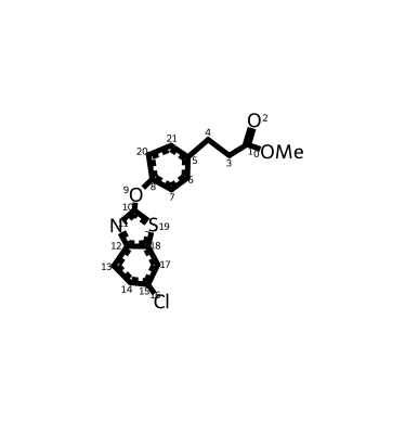 COC(=O)CCc1ccc(Oc2nc3ccc(Cl)cc3s2)cc1